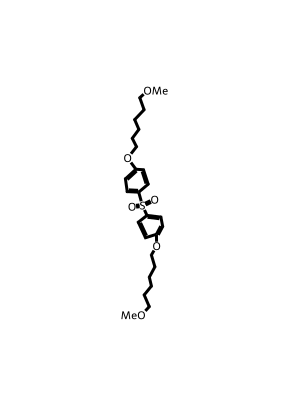 COCCCCCCOc1ccc(S(=O)(=O)c2ccc(OCCCCCCOC)cc2)cc1